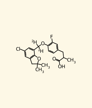 [2H]C([2H])(Oc1ccc(CC(C)C(=O)O)cc1F)c1cc(Cl)cc2c1OC(C)(C)C2